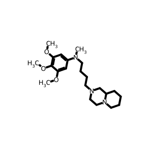 COc1cc(N(C)CCCCN2CCN3CCCCC3C2)cc(OC)c1OC